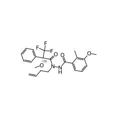 C=CCCN(NC(=O)c1cccc(OC)c1C)C(=O)[C@@](OC)(c1ccccc1)C(F)(F)F